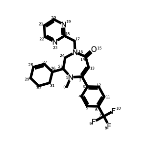 CN1C(c2ccc(C(F)(F)F)cc2)=CC(=O)N(Cc2ncccn2)CC1C1C=CCCC1